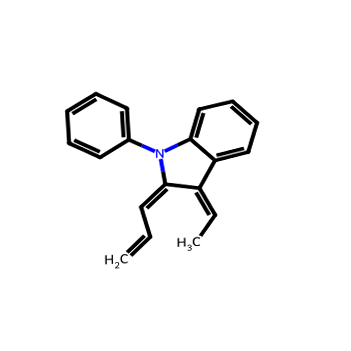 C=C/C=c1\c(=C/C)c2ccccc2n1-c1ccccc1